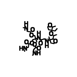 CCC(C)(NCC(=O)NC(COC(=O)CNC)(COC(=O)CNC)COC(=O)CNC)C(=O)C(C)OC(CC)(CC)C(C)=O